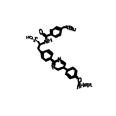 CCCCCCCOc1ccc(-c2cnc(-c3ccc(CC(NC(=O)c4ccc(C(C)(C)C)cc4)C(=O)O)cc3)nc2)cc1